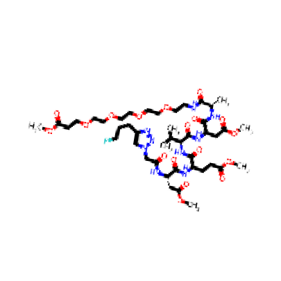 COC(=O)CCOCCOCCOCCOCCNC(=O)[C@H](C)NC(=O)C(CC(=O)OC)NC(=O)[C@@H](NC(=O)C(CCC(=O)OC)NC(=O)[C@H](CC(=O)OC)NC(=O)Cn1cc(CCCF)nn1)C(C)C